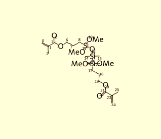 C=C(C)C(=O)OCCC[Si](OC)(OC)O[Si](C)(C)[Si](CCCOC(=O)C(=C)C)(OC)OC